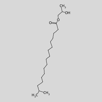 CC(C)CCCCCCCCCCCCCCC(=O)OCC(C)O